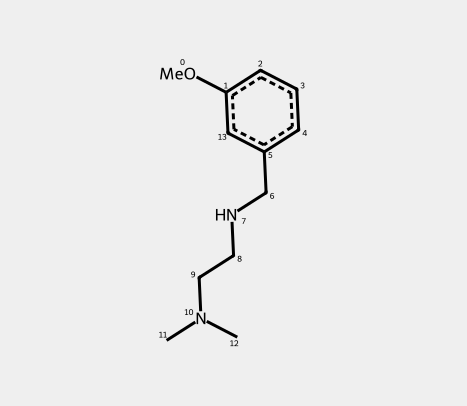 COc1cccc(CNCCN(C)C)c1